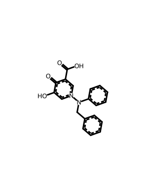 O=C(O)c1cn(N(Cc2ccccc2)c2ccccc2)cc(O)c1=O